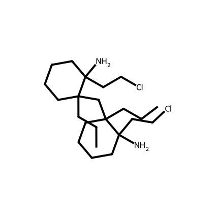 CCCC1(CC2(CCC)CCCCC2(N)CCCl)CCCCC1(N)CCCl